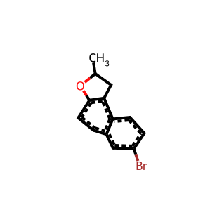 CC1Cc2c(ccc3cc(Br)ccc23)O1